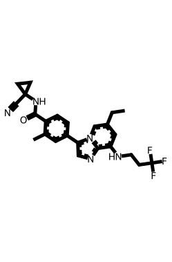 CCc1cc(NCCC(F)(F)F)c2ncc(-c3ccc(C(=O)NC4(C#N)CC4)c(C)c3)n2c1